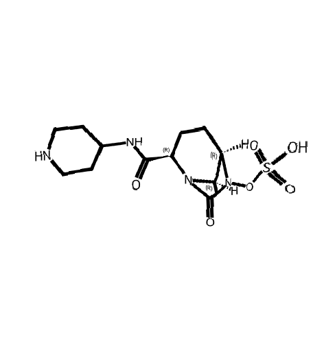 C[C@@H]1[C@H]2CC[C@H](C(=O)NC3CCNCC3)N1C(=O)N2OS(=O)(=O)O